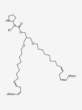 CCCCC/C=C\C/C=C\CCCCCCCCOCC(COCCCCCCCC/C=C\C/C=C\CCCCC)COC(=O)N(CC)C1CCCN1